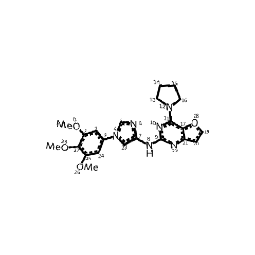 COc1cc(-n2cnc(Nc3nc(N4CCCC4)c4occc4n3)c2)cc(OC)c1OC